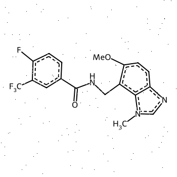 COc1ccc2ncn(C)c2c1CNC(=O)c1ccc(F)c(C(F)(F)F)c1